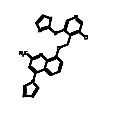 Cc1cc(-n2ccnc2)c2cccc(OCc3c(Cl)cncc3Sc3nccs3)c2n1